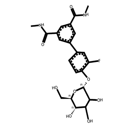 CNC(=O)c1cc(C(=O)NC)cc(-c2ccc(O[C@H]3O[C@H](CO)[C@@H](O)C(O)C3O)c(F)c2)c1